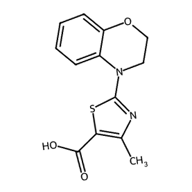 Cc1nc(N2CCOc3ccccc32)sc1C(=O)O